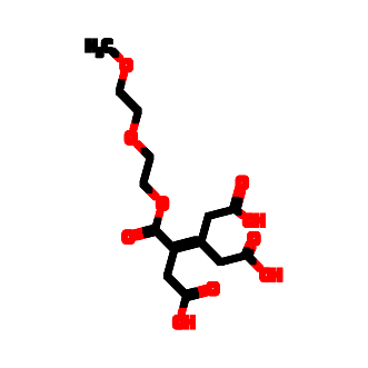 COCCOCCOC(=O)C(CC(=O)O)=C(CC(=O)O)CC(=O)O